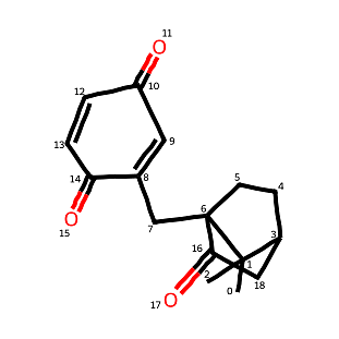 CC1(C)C2CCC1(CC1=CC(=O)C=CC1=O)C(=O)C2